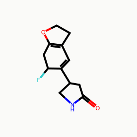 O=C1CC(C2=CC3=C(CC2F)OCC3)CN1